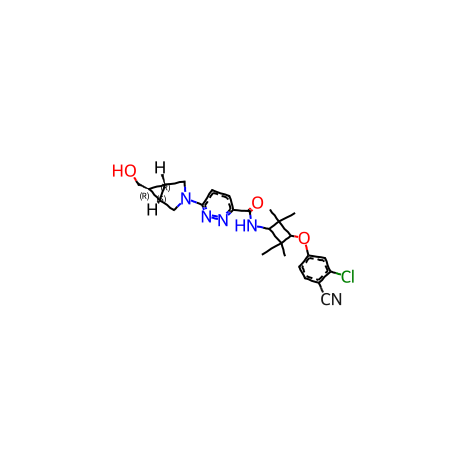 CC1(C)C(NC(=O)c2ccc(N3C[C@@H]4[C@@H](CO)[C@@H]4C3)nn2)C(C)(C)C1Oc1ccc(C#N)c(Cl)c1